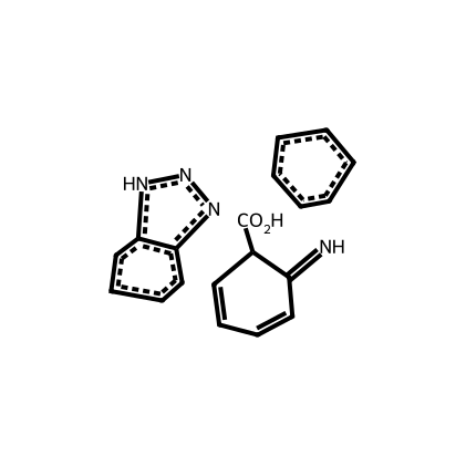 N=C1C=CC=CC1C(=O)O.c1ccc2[nH]nnc2c1.c1ccccc1